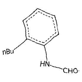 CCCCc1ccccc1N[C]=O